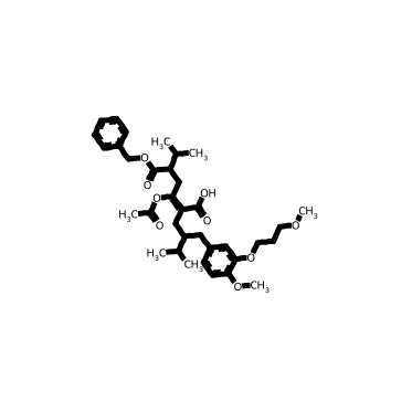 COCCCOc1cc(CC(C/C(C(=O)O)=C(/CC(C(=O)OCc2ccccc2)C(C)C)OC(C)=O)C(C)C)ccc1OC